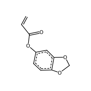 C=CC(=O)Oc1ccc2c(c1)OCO2